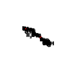 CN(C1CC(Oc2ccc(-c3ccc4c5cnccc5n(C)c4c3)cn2)C1)C1CC2(CC(OCCCCOc3ccc4c(c3)C(=O)N(C3CCC(=O)NC3=O)C4=O)C2)C1